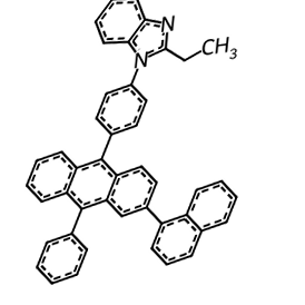 CCc1nc2ccccc2n1-c1ccc(-c2c3ccccc3c(-c3ccccc3)c3cc(-c4cccc5ccccc45)ccc23)cc1